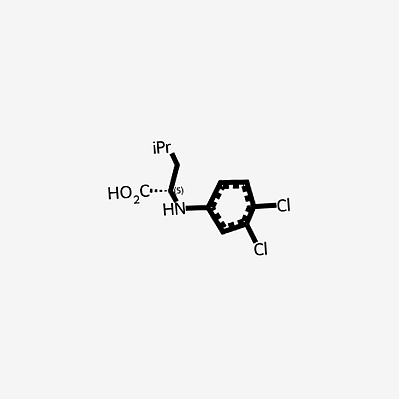 CC(C)C[C@H](Nc1ccc(Cl)c(Cl)c1)C(=O)O